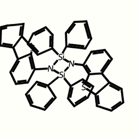 c1ccc([Si]2(c3ccccc3)N(c3cccc4c3sc3ccccc34)[Si](c3ccccc3)(c3ccccc3)N2c2cccc3c2sc2ccccc23)cc1